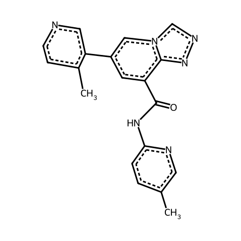 Cc1ccc(NC(=O)c2cc(-c3cnccc3C)cn3cnnc23)nc1